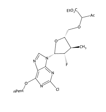 CCCCCOc1nc(Cl)nc2c1ncn2[C@@H]1O[C@H](COC(C(C)=O)C(=O)OCC)[C@@H](C)[C@@H]1F